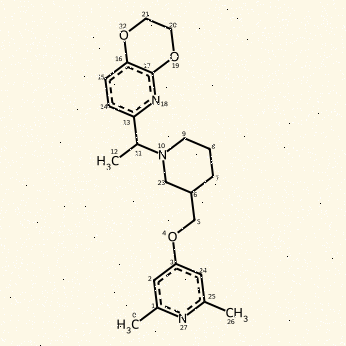 Cc1cc(OCC2CCCN(C(C)c3ccc4c(n3)OCCO4)C2)cc(C)n1